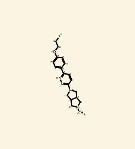 CN1CC2CN(c3ccc(-c4ccc(OCCF)cc4)nn3)CC2C1